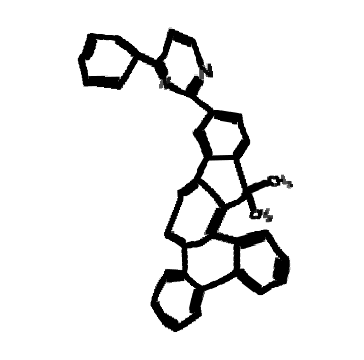 CC1(C)c2ccc(-c3nccc(-c4ccccc4)n3)cc2-c2ccc3c4ccccc4c4ccccc4c3c21